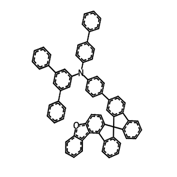 c1ccc(-c2ccc(N(c3ccc(-c4ccc5c(c4)C4(c6ccccc6-5)c5ccccc5-c5c4ccc4oc6ccccc6c54)cc3)c3cc(-c4ccccc4)cc(-c4ccccc4)c3)cc2)cc1